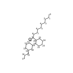 CCCCCCCCCC(O[C@H]1CC[C@H](CCC)CC1)C1CCCCC1